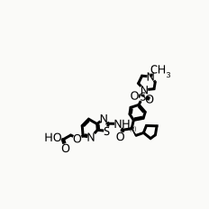 CN1CCN(S(=O)(=O)c2ccc([C@@H](CC3CCCC3)C(=O)Nc3nc4ccc(OCC(=O)O)nc4s3)cc2)CC1